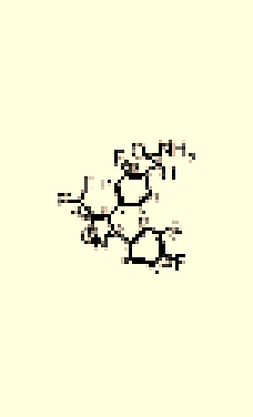 NS(=O)(=O)c1ccc(-c2c(-c3ccc(F)c(F)c3)noc2C(F)F)cc1F